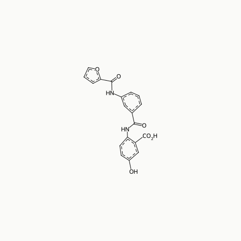 O=C(Nc1ccc(O)cc1C(=O)O)c1cccc(NC(=O)c2ccco2)c1